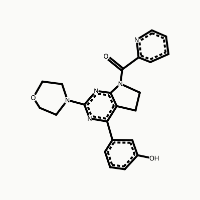 O=C(c1ccccn1)N1CCc2c(-c3cccc(O)c3)nc(N3CCOCC3)nc21